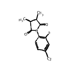 CC1C(=O)N(c2ccc(Cl)cc2F)C(=O)C1C